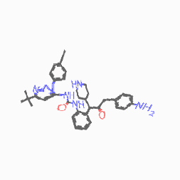 Cc1ccc(-n2nc(C(C)(C)C)cc2NC(=O)Nc2ccccc2C(C(=O)Cc2ccc(N)cc2)C2CCNCC2)cc1